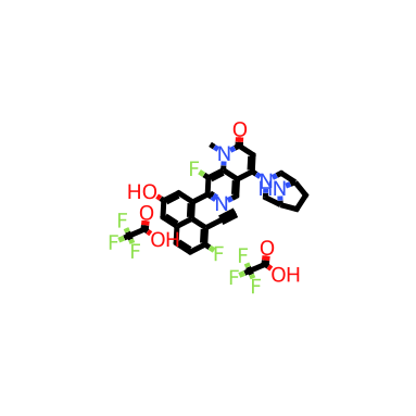 C#Cc1c(F)ccc2cc(O)cc(-c3ncc4c(N5CC6CCC(C5)N6)cc(=O)n(C)c4c3F)c12.O=C(O)C(F)(F)F.O=C(O)C(F)(F)F